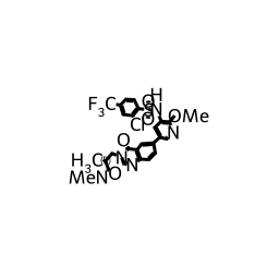 CNC(=O)[C@H](C)Cn1cnc2ccc(-c3cnc(OC)c(NS(=O)(=O)c4ccc(C(F)(F)F)cc4Cl)c3)cc2c1=O